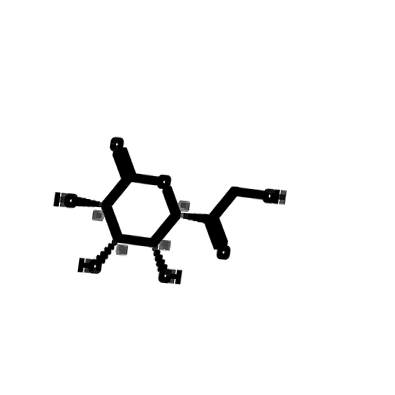 O=C1O[C@H](C(=O)CO)[C@H](O)[C@H](O)[C@@H]1O